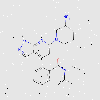 CCN(C(=O)c1ccccc1-c1cc(N2CCCC(N)C2)nc2c1cnn2C)C(C)C